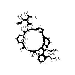 CCn1c(-c2cccnc2[C@H](C)OC)c2c3cc(ccc31)-c1csc(n1)C[C@H](NC(=O)C(C(C)C)N(C)C=O)C(=O)N1CCC[C@H](N1)C(=O)OCC(C)(C)C2